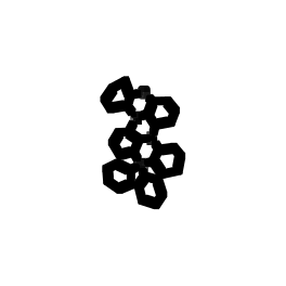 c1ccc([Si]2(c3ccccc3)c3ccccc3B3c4cccc5c4N(c4ccccc4O5)c4cccc2c43)cc1